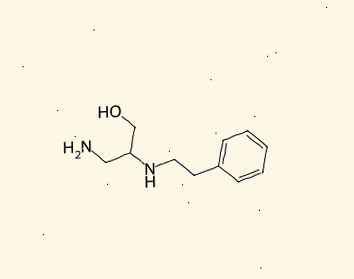 NCC(CO)NCCc1ccccc1